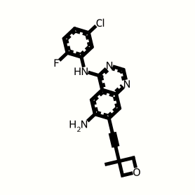 CC1(C#Cc2cc3ncnc(Nc4cc(Cl)ccc4F)c3cc2N)COC1